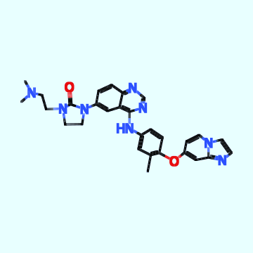 Cc1cc(Nc2ncnc3ccc(N4CCN(CCN(C)C)C4=O)cc23)ccc1Oc1ccn2ccnc2c1